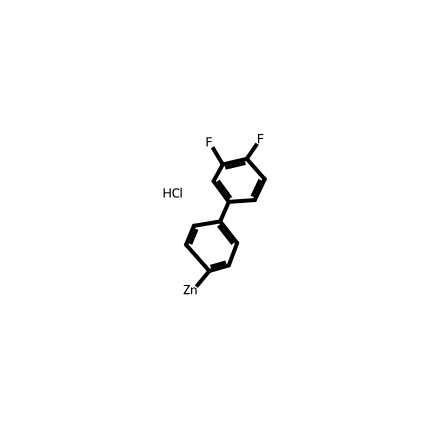 Cl.Fc1ccc(-c2cc[c]([Zn])cc2)cc1F